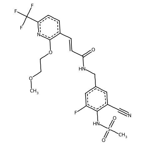 COCCOc1nc(C(F)(F)F)ccc1/C=C/C(=O)NCc1cc(F)c(NS(C)(=O)=O)c(C#N)c1